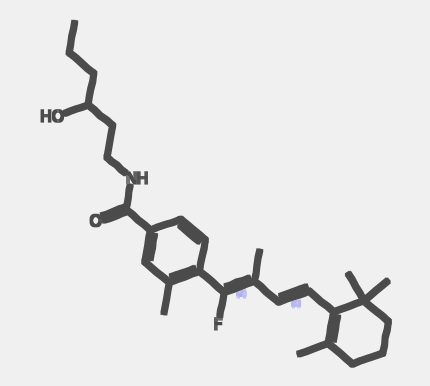 CCCC(O)CCNC(=O)c1ccc(/C(F)=C(C)/C=C/C2=C(C)CCCC2(C)C)c(C)c1